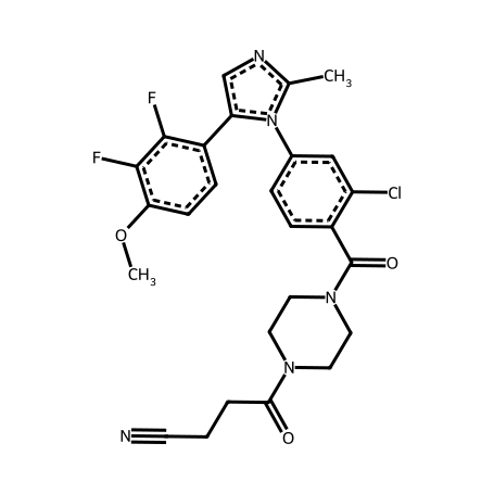 COc1ccc(-c2cnc(C)n2-c2ccc(C(=O)N3CCN(C(=O)CCC#N)CC3)c(Cl)c2)c(F)c1F